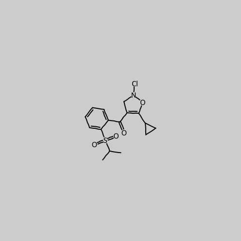 CC(C)S(=O)(=O)c1ccccc1C(=O)C1=C(C2CC2)ON(Cl)C1